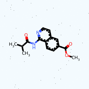 COC(=O)c1ccc2c(NC(=O)C(C)C)nccc2c1